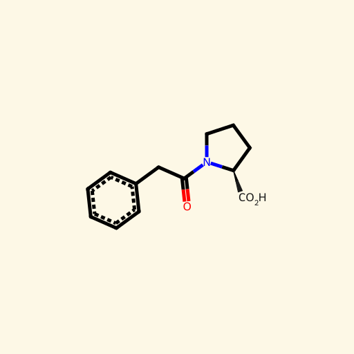 O=C(O)[C@@H]1CCCN1C(=O)Cc1ccccc1